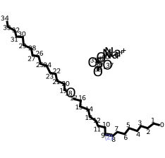 CCCCCCCC/C=C\CCCCCCCCOCCCCCCCCCCCCCCCC.O=S(=O)([O-])[O-].[Na+].[Na+]